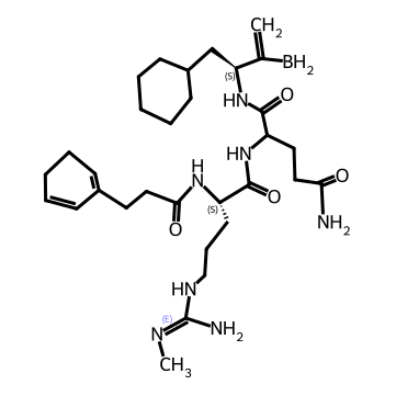 BC(=C)[C@H](CC1CCCCC1)NC(=O)C(CCC(N)=O)NC(=O)[C@H](CCCN/C(N)=N/C)NC(=O)CCC1=CCCC=C1